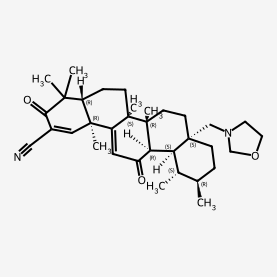 C[C@@H]1[C@H]2[C@H]3C(=O)C=C4[C@@]5(C)C=C(C#N)C(=O)C(C)(C)[C@@H]5CC[C@@]4(C)[C@]3(C)CC[C@@]2(CN2CCOC2)CC[C@H]1C